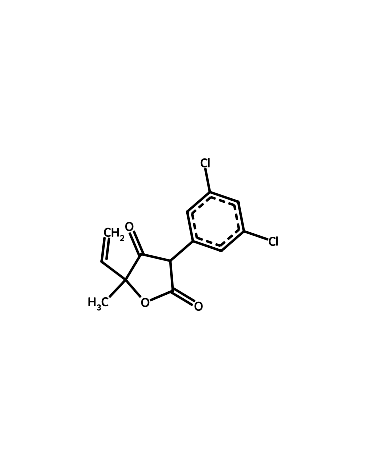 C=CC1(C)OC(=O)C(c2cc(Cl)cc(Cl)c2)C1=O